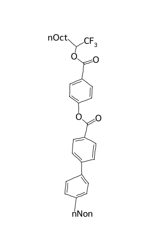 CCCCCCCCCc1ccc(-c2ccc(C(=O)Oc3ccc(C(=O)OC(CCCCCCCC)C(F)(F)F)cc3)cc2)cc1